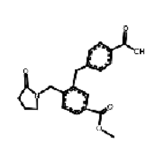 COC(=O)c1ccc(CN2CCCC2=O)c(Cc2ccc(C(=O)O)cc2)c1